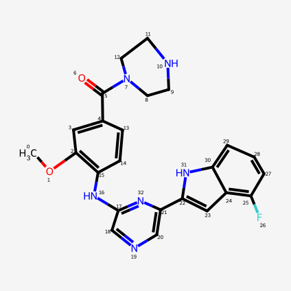 COc1cc(C(=O)N2CCNCC2)ccc1Nc1cncc(-c2cc3c(F)cccc3[nH]2)n1